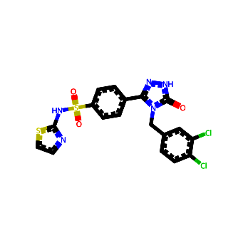 O=c1[nH]nc(-c2ccc(S(=O)(=O)Nc3nccs3)cc2)n1Cc1ccc(Cl)c(Cl)c1